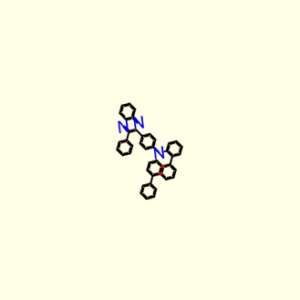 c1ccc(-c2ccc(N(c3ccc(-c4nc5ccccc5nc4-c4ccccc4)cc3)c3ccccc3-c3ccccc3)cc2)cc1